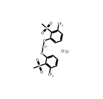 CS(=O)(=O)c1c([O][Zr+2][O]c2cccc(C(F)(F)F)c2S(C)(=O)=O)cccc1C(F)(F)F.[Cl-].[Cl-]